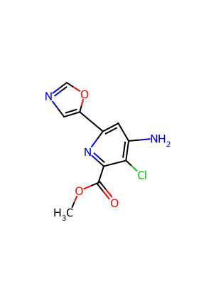 COC(=O)c1nc(-c2cnco2)cc(N)c1Cl